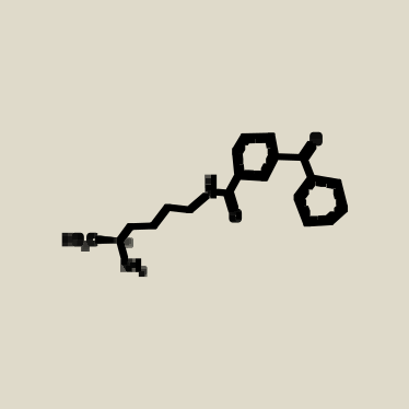 N[C@H](CCCCNC(=O)c1cccc(C(=O)c2ccccc2)c1)C(=O)O